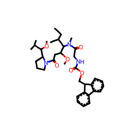 CCC(C)C(C(CC(=O)N1CCCC1C(OC)C(C)C)OC)N(C)C(=O)CNC(=O)OCC1c2ccccc2-c2ccccc21